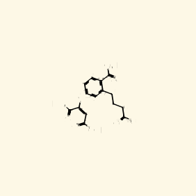 C/C(=C/C(=O)O)C(=O)O.O=C(O)CCCc1ccccc1C(=O)O